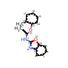 C=C(Nc1nc2ccccc2o1)Oc1ccccc1C